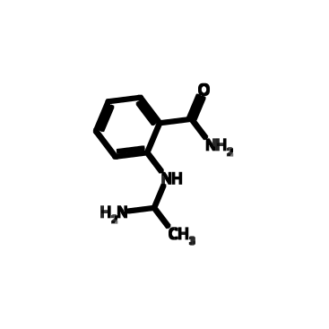 CC(N)Nc1ccccc1C(N)=O